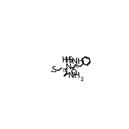 C=C(N)[C@H](CCSC)NC(=O)[C@H](Cc1ccccc1)NS